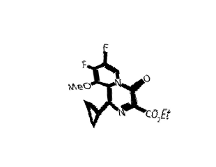 CCOC(=O)c1nc(C2CC2)c2c(OC)c(F)c(F)cn2c1=O